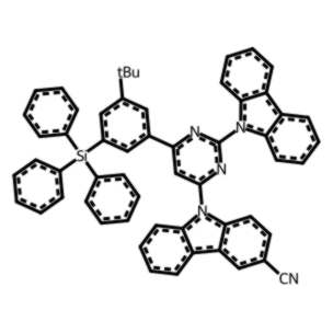 CC(C)(C)c1cc(-c2cc(-n3c4ccccc4c4cc(C#N)ccc43)nc(-n3c4ccccc4c4ccccc43)n2)cc([Si](c2ccccc2)(c2ccccc2)c2ccccc2)c1